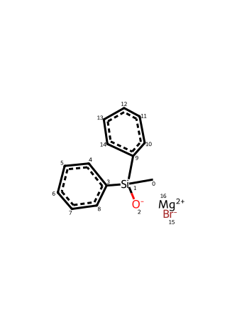 C[Si]([O-])(c1ccccc1)c1ccccc1.[Br-].[Mg+2]